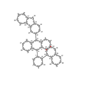 c1ccc(-c2c3ccccc3c(-c3ccc4sc5ccccc5c4c3)c3ccccc23)c(-c2cccc3ccccc23)c1